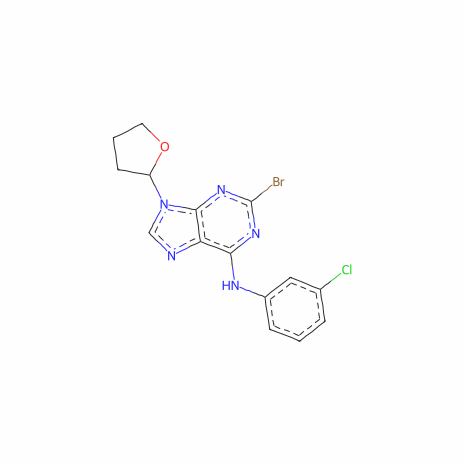 Clc1cccc(Nc2nc(Br)nc3c2ncn3C2CCCO2)c1